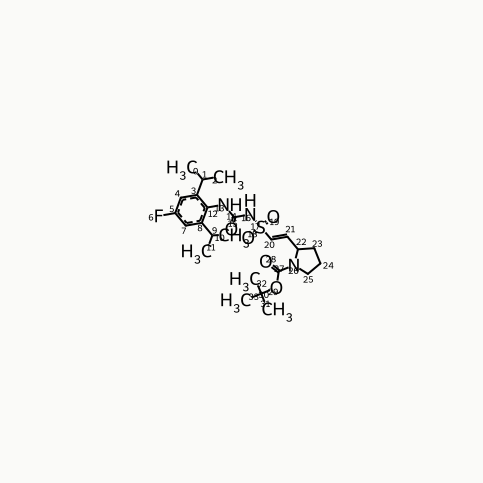 CC(C)c1cc(F)cc(C(C)C)c1NC(=O)NS(=O)(=O)/C=C/C1CCCN1C(=O)OC(C)(C)C